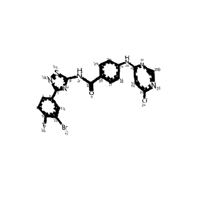 O=C(Nc1nc(-c2ccc(F)c(Br)c2)ns1)c1ccc(Nc2cc(Cl)ncn2)cc1